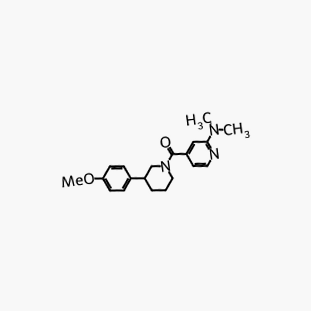 COc1ccc(C2CCCN(C(=O)c3ccnc(N(C)C)c3)C2)cc1